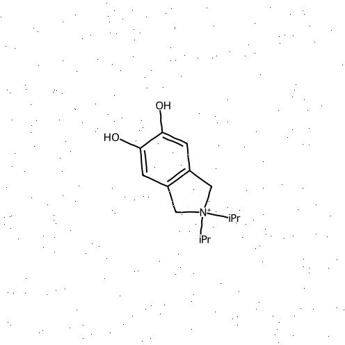 CC(C)[N+]1(C(C)C)Cc2cc(O)c(O)cc2C1